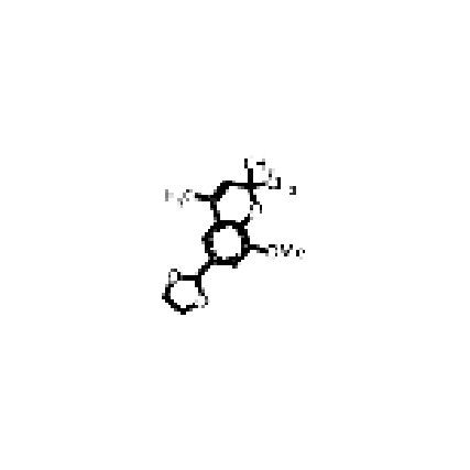 COc1cc(C2OCCO2)cc2c1OC(C)(C)C=C2C